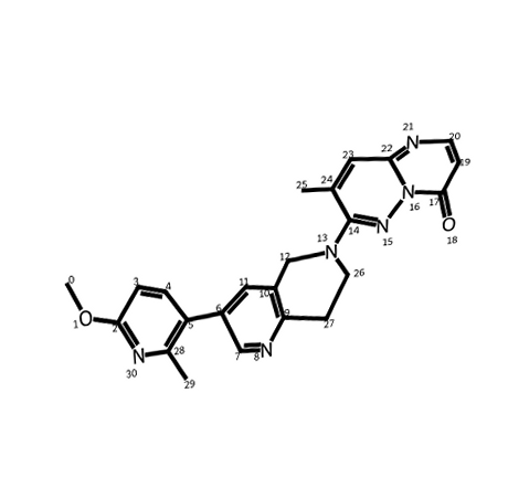 COc1ccc(-c2cnc3c(c2)CN(c2nn4c(=O)ccnc4cc2C)CC3)c(C)n1